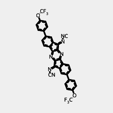 [C-]#[N+]/N=c1\c2cc(-c3ccc(OC(F)(F)F)cc3)ccc2c2nc3/c(=N/C#N)c4cc(-c5ccc(OC(F)(F)F)cc5)ccc4c3nc12